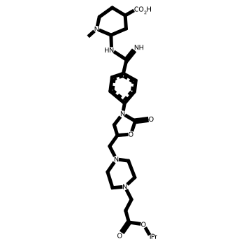 CC(C)OC(=O)CCN1CCN(CC2CN(c3ccc(C(=N)NC4CC(C(=O)O)CCN4C)cc3)C(=O)O2)CC1